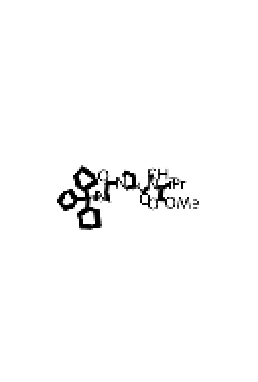 COC(=O)C(C(C)C)N(C)C(=O)[C@H]1CCN(C(=O)C2C[N@@]2C(c2ccccc2)(c2ccccc2)c2ccccc2)C1